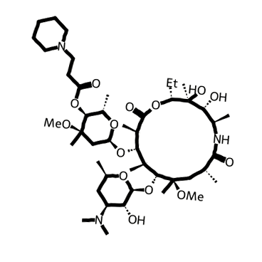 CC[C@H]1OC(=O)[C@H](C)[C@@H](O[C@H]2C[C@@](C)(OC)[C@@H](OC(=O)CCN3CCCCC3)[C@H](C)O2)[C@H](C)[C@@H](O[C@@H]2O[C@H](C)C[C@H](N(C)C)[C@H]2O)[C@](C)(OC)C[C@@H](C)C(=O)N[C@H](C)[C@@H](O)[C@]1(C)O